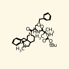 CN1CC2CCN(C(=O)[C@@H](COCc3ccccc3)NC(=O)C(C)(C)NC(=O)OC(C)(C)C)CC2(Cc2ccccc2)C1=O